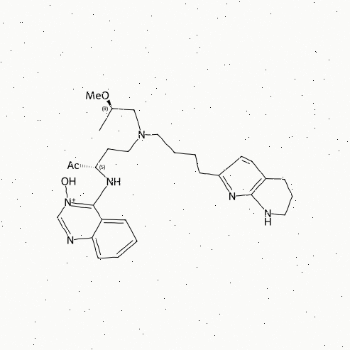 CO[C@H](C)CN(CCCCc1ccc2c(n1)NCCC2)CC[C@H](Nc1c2ccccc2nc[n+]1O)C(C)=O